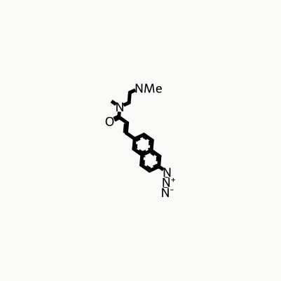 CNCCN(C)C(=O)/C=C/c1ccc2cc(N=[N+]=[N-])ccc2c1